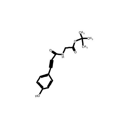 CC(C)(C)OC(=O)CNC(=O)C#Cc1ccc(O)cc1